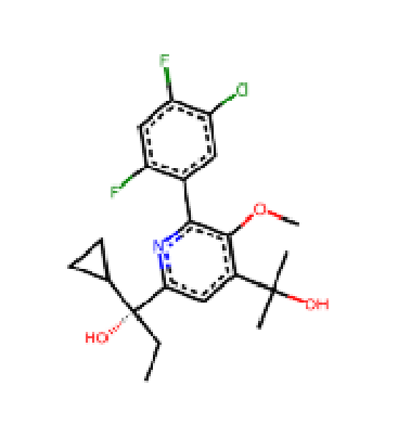 CC[C@](O)(c1cc(C(C)(C)O)c(OC)c(-c2cc(Cl)c(F)cc2F)n1)C1CC1